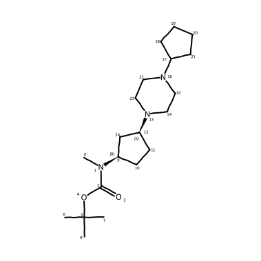 CN(C(=O)OC(C)(C)C)[C@@H]1CC[C@H](N2CCN(C3CCCC3)CC2)C1